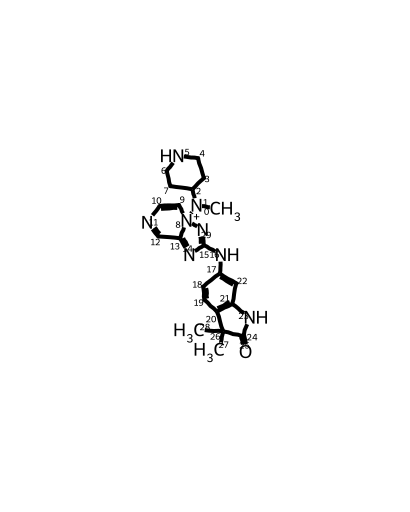 CN(C1CCNCC1)[N+]12C=CN=CC1=NC(Nc1ccc3c(c1)NC(=O)C3(C)C)=N2